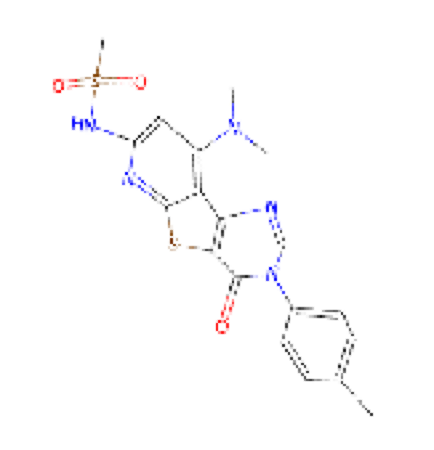 Cc1ccc(-n2cnc3c(sc4nc(NS(C)(=O)=O)cc(N(C)C)c43)c2=O)cc1